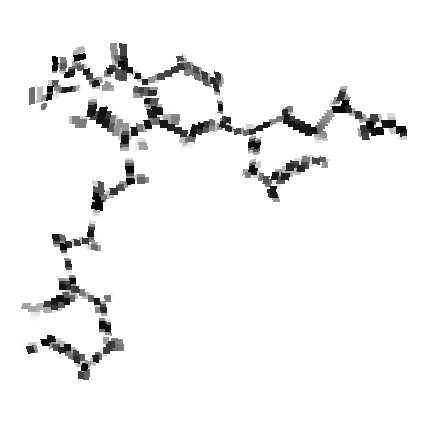 COc1cccc(-c2ccc3c(c2)C(CSCCc2ccccc2)=CC(C)(C)N3)c1